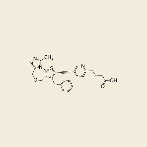 Cc1nnc2n1-c1sc(C#Cc3ccc(CCCC(=O)O)nc3)c(Cc3ccccc3)c1COC2